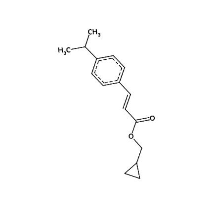 CC(C)c1ccc(C=CC(=O)OCC2CC2)cc1